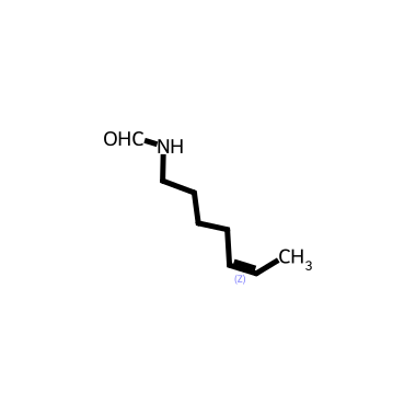 C/C=C\CCCCNC=O